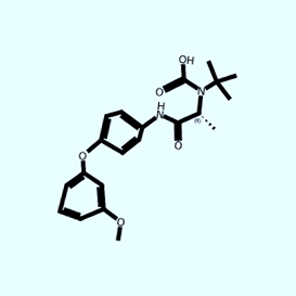 COc1cccc(Oc2ccc(NC(=O)[C@@H](C)N(C(=O)O)C(C)(C)C)cc2)c1